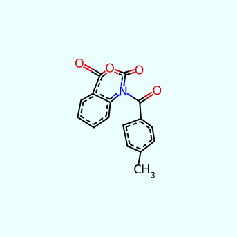 Cc1ccc(C(=O)n2c(=O)oc(=O)c3ccccc32)cc1